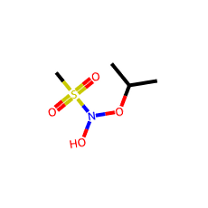 CC(C)ON(O)S(C)(=O)=O